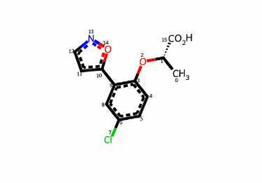 C[C@H](Oc1ccc(Cl)cc1-c1ccno1)C(=O)O